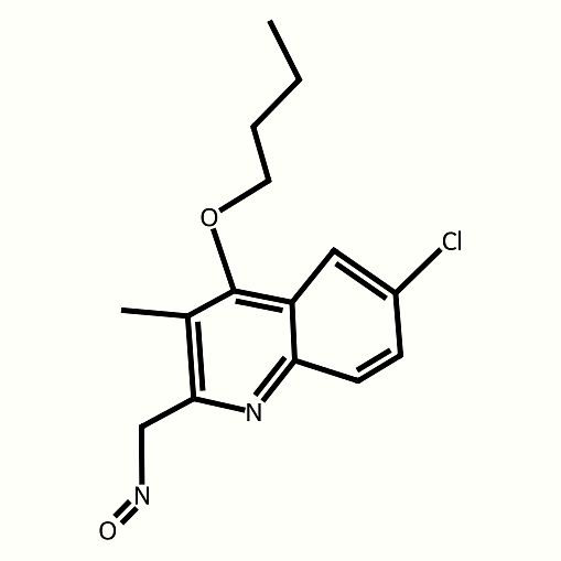 CCCCOc1c(C)c(CN=O)nc2ccc(Cl)cc12